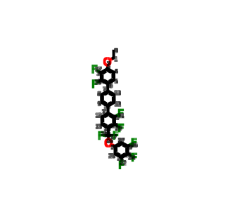 CCOc1ccc(-c2ccc(-c3ccc(C(F)(F)Oc4cc(F)c(F)c(F)c4)c(F)c3F)cc2)c(F)c1F